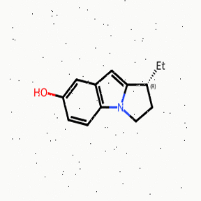 [CH2]C[C@@H]1CCn2c1cc1cc(O)ccc12